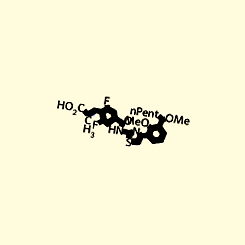 CCCCCC(OC)c1cccc(-c2csc(NC(=O)c3cc(F)c(/C=C(\C)C(=O)O)c(F)c3)n2)c1OC